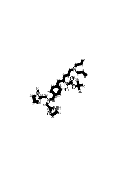 CCCN(CCC)CCCC(Cc1ccc(CN(Cc2ncc[nH]2)Cc2nccn2C)cc1)NC(=O)OC(C)(C)C